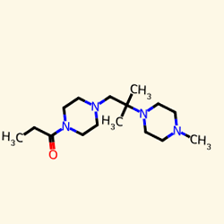 CCC(=O)N1CCN(CC(C)(C)N2CCN(C)CC2)CC1